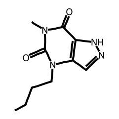 CCCCn1c(=O)n(C)c(=O)c2[nH]ncc21